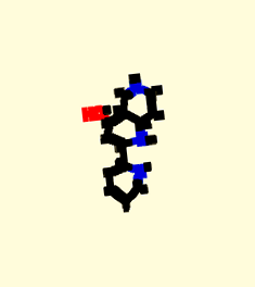 Oc1cc(-c2ccccn2)nc2ccncc12